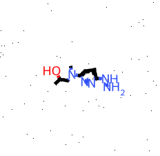 CC(O)CN(C)c1ccc(NN)nn1